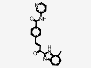 Cc1cccc2nc(C(=O)C=Cc3ccc(C(=O)Nc4cccnc4)cc3)[nH]c12